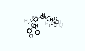 CC(C)(C)C(=O)N1CCC(n2cc(-c3cnc(N)c(-c4nc(-c5ccccc5)c(-c5cccc(Cl)c5)o4)c3)cn2)CC1